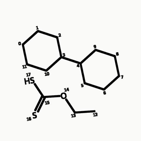 C1CCC(C2CCCCC2)CC1.CCOC(=S)S